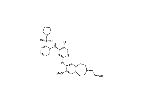 COc1cc2c(cc1Nc1ncc(Cl)c(Nc3ccccc3S(=O)(=O)N3CCCC3)n1)CCN(CCO)CC2